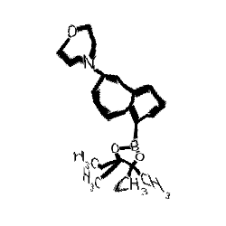 CC1(C)OB(c2cccc3cc(N4CCOCC4)ccc23)OC1(C)C